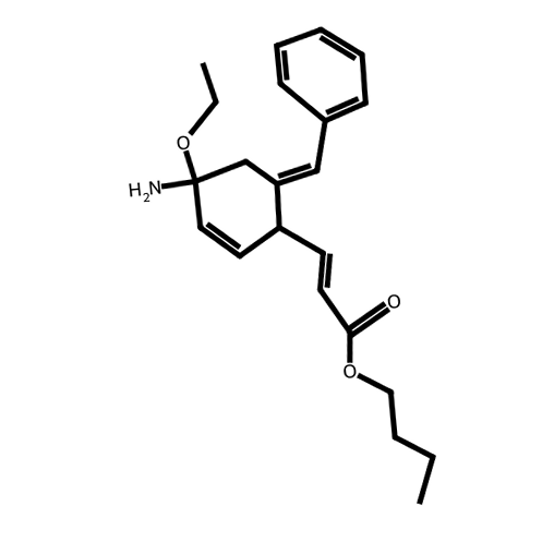 CCCCOC(=O)C=CC1C=CC(N)(OCC)CC1=Cc1ccccc1